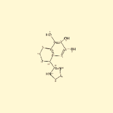 Oc1cc2c(c(O)c1O)CCCC2C1=NCCN1